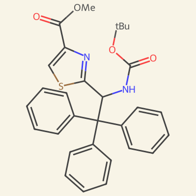 COC(=O)c1csc(C(NC(=O)OC(C)(C)C)C(c2ccccc2)(c2ccccc2)c2ccccc2)n1